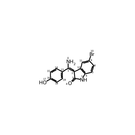 N/C(=C1/C(=O)Nc2ccc(Br)cc21)c1ccc(O)cc1